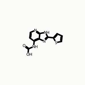 O=C(O)Nc1ccnc2[nH]c(-c3cccs3)nc12